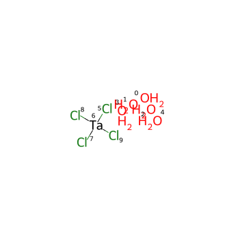 O.O.O.O.O.[Cl][Ta]([Cl])([Cl])[Cl]